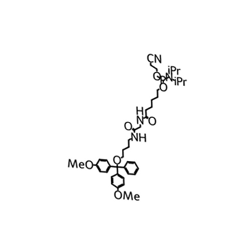 COc1ccc(C(OCCCCNC(=O)CNC(=O)CCCCCOP(OCCC#N)N(C(C)C)C(C)C)(c2ccccc2)c2ccc(OC)cc2)cc1